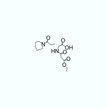 CCOC(=O)CC(=O)N[C@H](CCC(=O)N1CCCCC1)C(=O)O